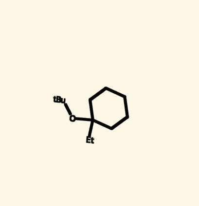 CCC1(OC(C)(C)C)CCCCC1